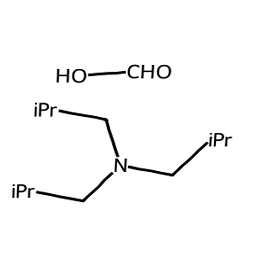 CC(C)CN(CC(C)C)CC(C)C.O=CO